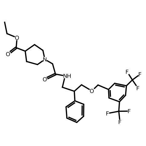 CCOC(=O)C1CCN(CC(=O)NCC(COCc2cc(C(F)(F)F)cc(C(F)(F)F)c2)c2ccccc2)CC1